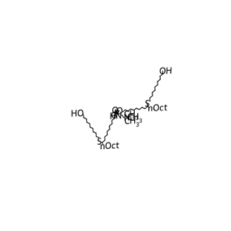 CCCCCCCCC(CCCCCCCCCOP(=O)(NCC[N+](C)(C)C)OCCCCCCCCCC(CCCCCCCC)SCCCCCCCCCCCO)SCCCCCCCCCCCO